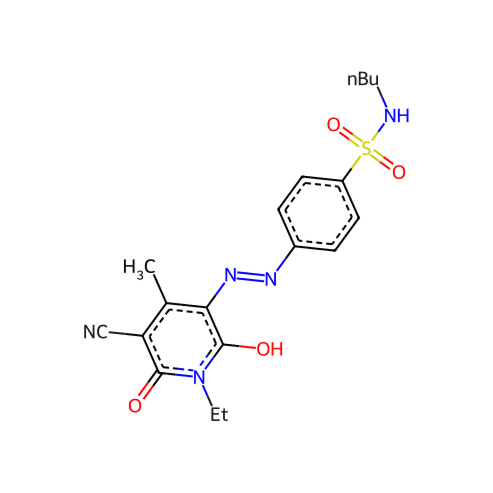 CCCCNS(=O)(=O)c1ccc(/N=N/c2c(C)c(C#N)c(=O)n(CC)c2O)cc1